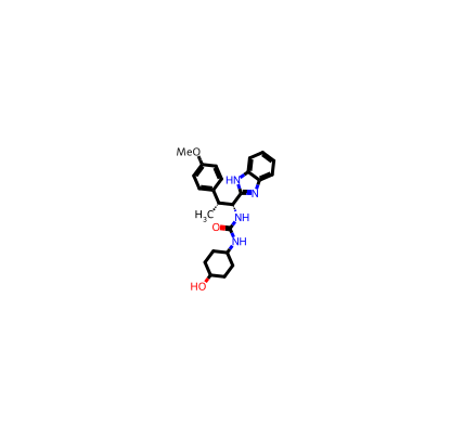 COc1ccc([C@@H](C)[C@@H](NC(=O)NC2CCC(O)CC2)c2nc3ccccc3[nH]2)cc1